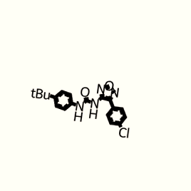 CC(C)(C)c1ccc(NC(=O)Nc2nonc2-c2ccc(Cl)cc2)cc1